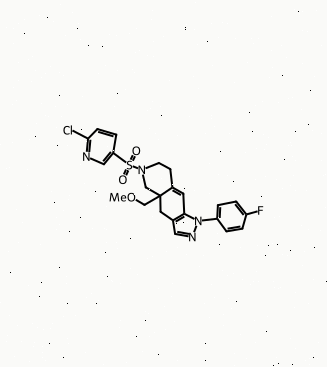 COCC12Cc3cnn(-c4ccc(F)cc4)c3C=C1CCN(S(=O)(=O)c1ccc(Cl)nc1)C2